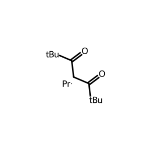 CC(C)(C)C(=O)CC(=O)C(C)(C)C.[Pr]